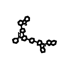 c1ccc(Nc2ccc(-c3ccc(-c4ccc5c(c4)c4ccccc4n5-c4ccc5ccccc5c4)cc3)cc2-c2ccc(-c3cccc4c3sc3ccccc34)cc2)cc1